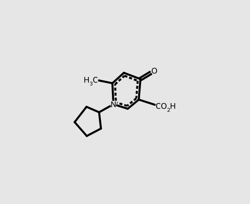 Cc1cc(=O)c(C(=O)O)cn1C1CCCC1